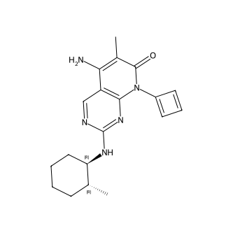 Cc1c(N)c2cnc(N[C@@H]3CCCC[C@H]3C)nc2n(C2=CC=C2)c1=O